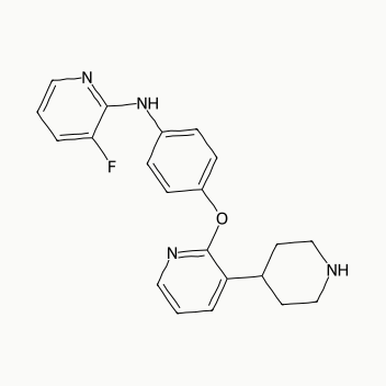 Fc1cccnc1Nc1ccc(Oc2ncccc2C2CCNCC2)cc1